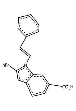 CCCc1cc2ccc(C(=O)O)cc2n1/C=C/c1ccccc1